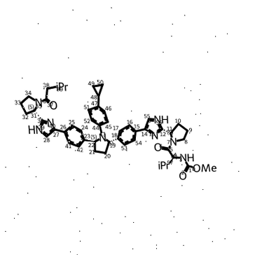 COC(=O)N[C@H](C(=O)N1CCC[C@H]1c1nc(-c2ccc([C@@H]3CC[C@@H](c4ccc(-c5c[nH]c([C@@H]6CCCN6C(=O)[CH]C(C)C)n5)cc4)N3c3ccc(C4CC4)cc3)cc2)c[nH]1)C(C)C